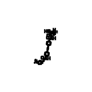 CN(C)[C@@H]1CCN(CC(=O)Nc2ccc(C#Cc3ccc(C(=O)N[C@@H](CN)C(=O)NO)cc3)cc2)C1